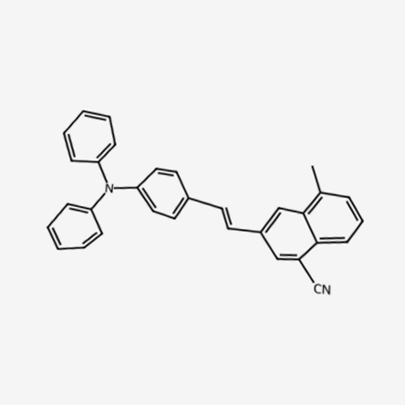 Cc1cccc2c(C#N)cc(C=Cc3ccc(N(c4ccccc4)c4ccccc4)cc3)cc12